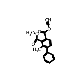 C#COC(=O)c1ccc(-c2ccccc2)c(C)c1C(=O)OC